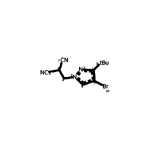 CC(C)(C)c1nn(CC(C#N)C#N)cc1Br